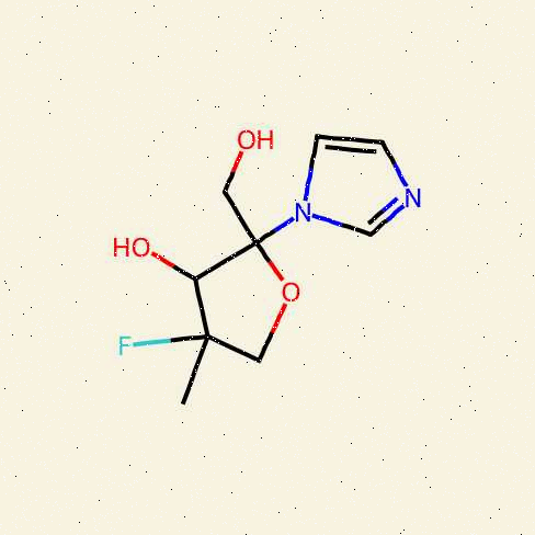 CC1(F)COC(CO)(n2ccnc2)C1O